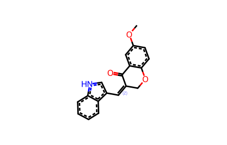 COc1ccc2c(c1)C(=O)/C(=C\c1c[nH]c3ccccc13)CO2